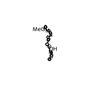 COc1ccccc1CN1CCC2(CCN(CC3CCc4cc(C5CCCC(OC[C@H](O)CN6CCC7(CCN(c8ccccc8)C7)C6)C5)ccc43)C2)C1